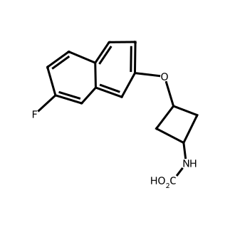 O=C(O)NC1CC(Oc2ccc3ccc(F)cc3c2)C1